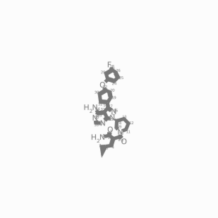 NC(=O)C(=CC1CC1)C(=O)N1CCC[C@H](n2nc(-c3ccc(Oc4cccc(F)c4)cc3)c3c(N)ncnc32)C1